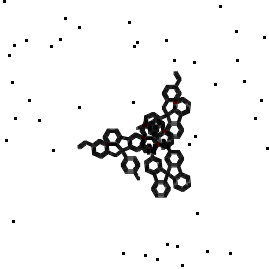 C=Cc1ccc(CC2(c3ccc(C)cc3)c3ccccc3-c3ccc(N(c4ccc5c(c4)C4(c6ccccc6-5)c5ccccc5-c5ccc(N(c6ccc7c(c6)C(Cc6ccc(C=C)cc6)(c6ccc(C)cc6)c6ccccc6-7)c6cccc7ccccc67)cc54)c4cccc5ccccc45)cc32)cc1